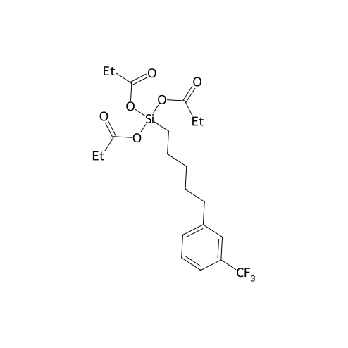 CCC(=O)O[Si](CCCCCc1cccc(C(F)(F)F)c1)(OC(=O)CC)OC(=O)CC